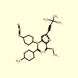 COC(=O)c1sc(C#CC(C)(C)C)cc1N(C(=O)C1CCC(C)CC1)C1CCC(N=[N+]=[N-])CC1